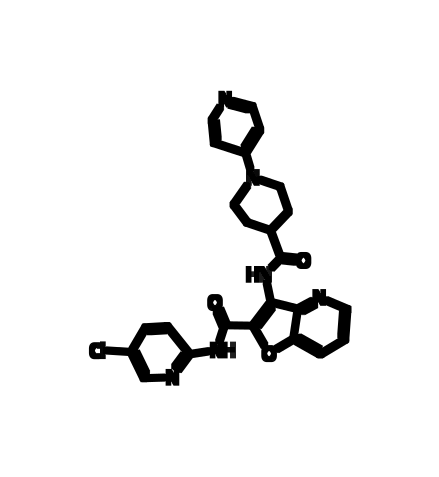 O=C(Nc1ccc(Cl)cn1)c1oc2cccnc2c1NC(=O)C1CCN(c2ccncc2)CC1